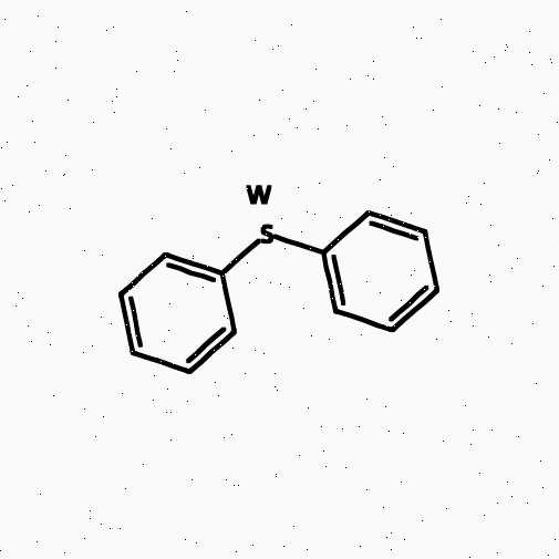 [W].c1ccc(Sc2ccccc2)cc1